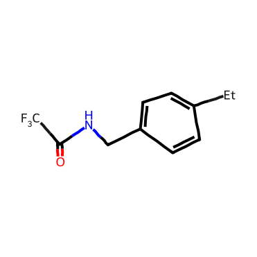 CCc1ccc(CNC(=O)C(F)(F)F)cc1